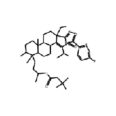 CCC1(c2nnc(-c3ccc(F)cn3)o2)CCC2C(CCC3C(C)(CCC(C)OC(=O)CC(C)(C)C)C(C)CCC23C)/C1=C(/C=O)C(C)C